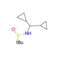 CC(C)(C)[S+]([O-])NC(C1CC1)C1CC1